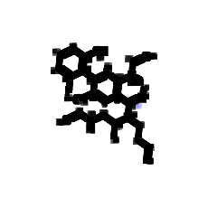 C=CCCN(/C(=N/C)c1cc(Cl)c(-c2c(O)cccc2F)nc1N(C)C=O)C(C)CNC=O